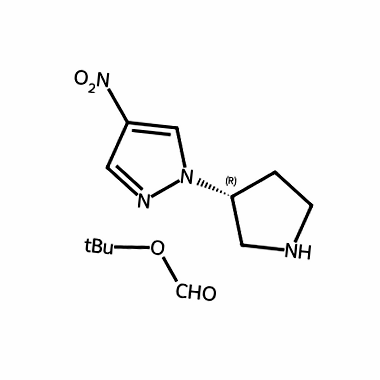 CC(C)(C)OC=O.O=[N+]([O-])c1cnn([C@@H]2CCNC2)c1